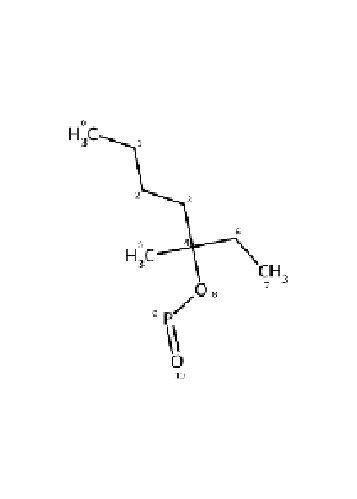 CCCCC(C)(CC)OP=O